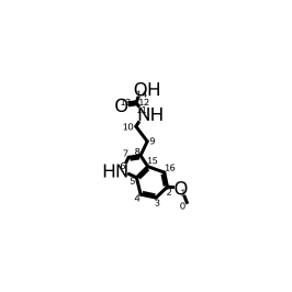 COc1ccc2[nH]cc(CCNC(=O)O)c2c1